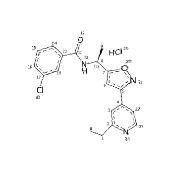 CCc1cc(-c2cc([C@H](C)NC(=O)c3cccc(Cl)c3)on2)ccn1.Cl